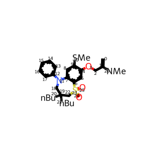 C=C(COc1cc2c(cc1SC)N(c1ccccc1)CC(CCCC)(CCCC)CS2(=O)=O)NC